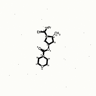 CCCC(CC)N1C[C@H](OC(=O)N2CCOCC2)C[C@H]1C